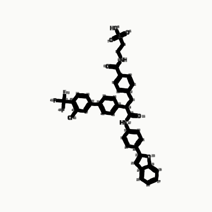 O=C(NCCS(=O)(=O)O)c1ccc(CC(C(=O)Nc2ccc(-c3cc4ccccc4o3)cc2)c2ccc(-c3ccc(C(F)(F)F)c(Cl)c3)cc2)cc1